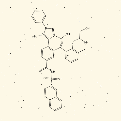 CCCCc1c(-c2ccc(C(=O)NS(=O)(=O)c3ccc4ccccc4c3)cc2C(=O)c2cccc3c2CC(CO)NC3)c(CO)nn1-c1ccccc1